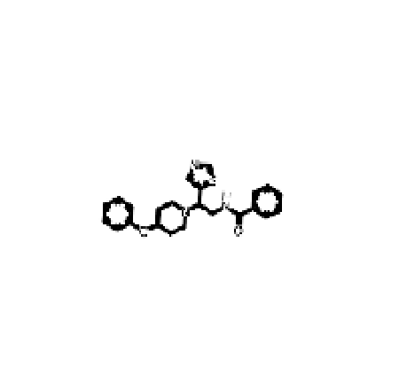 O=C(NCC(c1cncs1)N1CCC(Oc2ccccc2)CC1)c1ccccc1